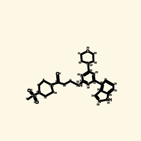 CS(=O)(=O)N1CCN(C(=O)CCNc2nc(-c3cccc4[nH]ncc34)nc(N3CCOCC3)n2)CC1